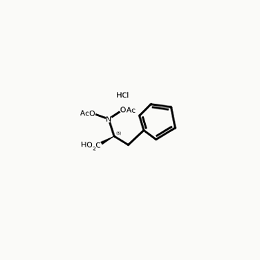 CC(=O)ON(OC(C)=O)[C@@H](Cc1ccccc1)C(=O)O.Cl